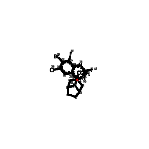 O=C(O)N1CC2CCC(C1)N2c1nc(F)nc2c(F)c(Br)c(Cl)cc12